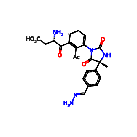 CC(=O)C1=C(C(=O)[C@@H](N)CC(=O)O)[CH]CC=C1N1C(=O)N[C@](C)(c2ccc(C=NN)cc2)C1=O